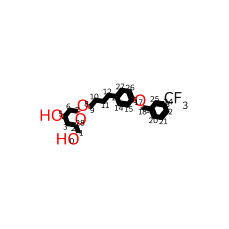 OCC1CC(O)CC(OCCCCc2ccc(OCc3cccc(C(F)(F)F)c3)cc2)O1